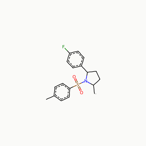 [CH2]C1CCC(c2ccc(F)cc2)N1S(=O)(=O)c1ccc(C)cc1